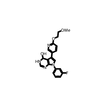 COCCOc1ccc(-c2cn(-c3cccc(F)c3)c3c2C(O)NC=N3)cn1